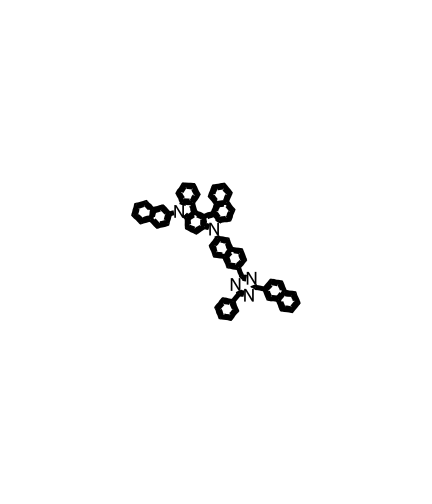 c1ccc(-c2nc(-c3ccc4ccccc4c3)nc(-c3ccc4cc(-n5c6ccc7ccccc7c6c6c7c8ccccc8n(-c8ccc9ccccc9c8)c7ccc65)ccc4c3)n2)cc1